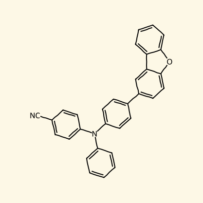 N#Cc1ccc(N(c2ccccc2)c2ccc(-c3ccc4oc5ccccc5c4c3)cc2)cc1